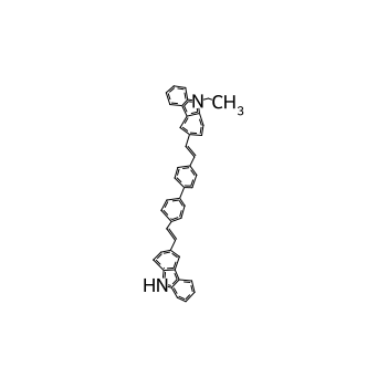 CCn1c2ccccc2c2cc(/C=C/c3ccc(-c4ccc(/C=C/c5ccc6[nH]c7ccccc7c6c5)cc4)cc3)ccc21